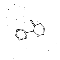 C=C1CC=COC1c1ccccc1